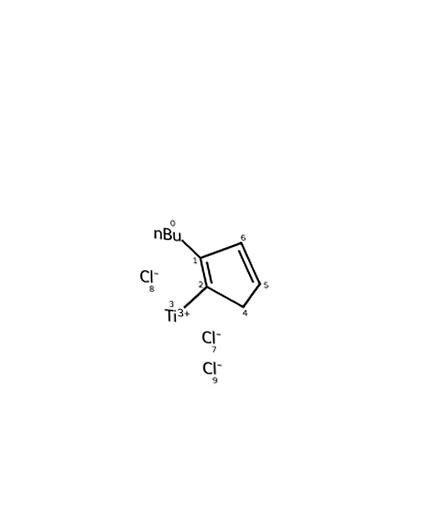 CCCCC1=[C]([Ti+3])CC=C1.[Cl-].[Cl-].[Cl-]